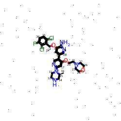 C[C@@H](Oc1cc(-c2cnc(N3CCNC[C@@H]3C)cc2OCCN2CCOCC2)cnc1N)c1c(Cl)ccc(F)c1Cl